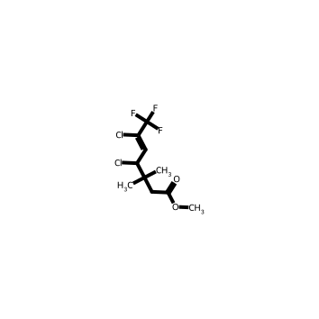 COC(=O)CC(C)(C)C(Cl)C=C(Cl)C(F)(F)F